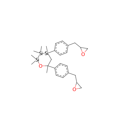 CC1(c2ccc(CC3CO3)cc2)C[Si](C)(c2ccc(CC3CO3)cc2)[Si](C)(C)[Si](C)(C)O1